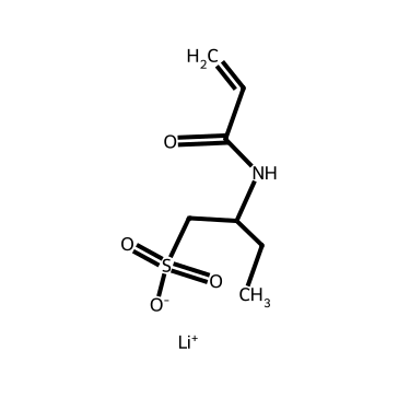 C=CC(=O)NC(CC)CS(=O)(=O)[O-].[Li+]